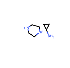 C1CNCCN1.NC1CC1